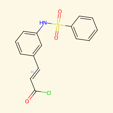 O=C(Cl)/C=C/c1cccc(NS(=O)(=O)c2ccccc2)c1